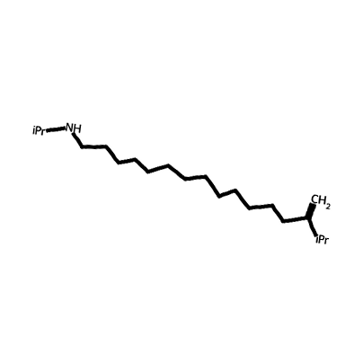 C=C(CCCCCCCCCCCCCNC(C)C)C(C)C